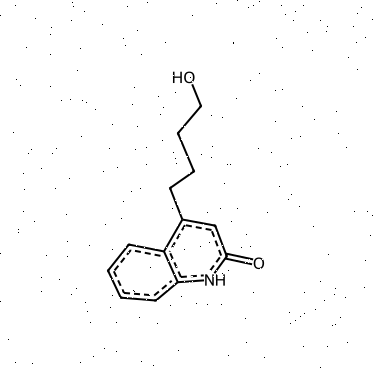 O=c1cc(CCCCO)c2ccccc2[nH]1